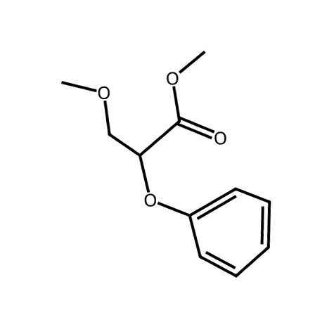 COCC(Oc1ccccc1)C(=O)OC